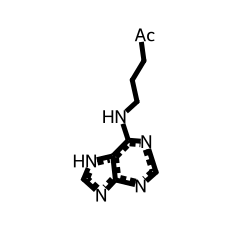 CC(=O)CCCNc1ncnc2nc[nH]c12